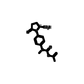 C=C(C)OC(=O)N(C)c1ccc(N2C(=O)CC[C@H]2C(=O)O)cc1